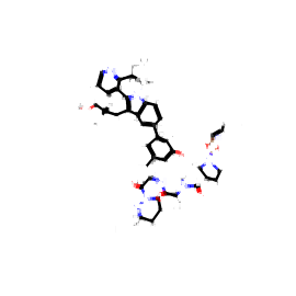 C/C=C/S(=O)(=O)N1CC[C@H](C(=O)N(C)[C@H](C(=O)N[C@@H](Cc2cc(O)cc(-c3ccc4c(c3)c(CC(C)(C)COC=O)c(-c3cccnc3[C@H](C)OC)n4CC)c2)C(=O)N2CCC[C@@H](C)N2)C(C)C)C1